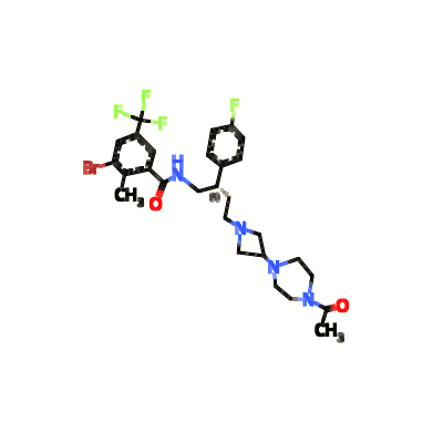 CC(=O)N1CCN(C2CN(CC[C@H](CNC(=O)c3cc(C(F)(F)F)cc(Br)c3C)c3ccc(F)cc3)C2)CC1